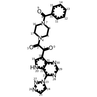 O=C(C(=O)N1CCN(C(=O)c2ccccc2)CC1)c1c[nH]c2c(-n3ccnn3)ncnc12